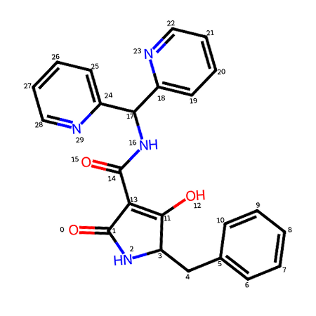 O=C1NC(Cc2ccccc2)C(O)=C1C(=O)NC(c1ccccn1)c1ccccn1